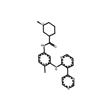 Cc1ccc(NC(=O)C2CCC[C@H](C)C2)cc1Nc1ncccc1-c1ccncn1